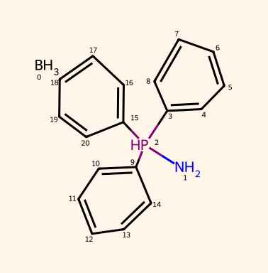 B.N[PH](c1ccccc1)(c1ccccc1)c1ccccc1